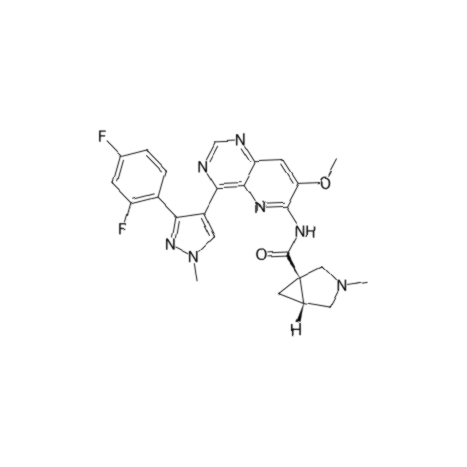 COc1cc2ncnc(-c3cn(C)nc3-c3ccc(F)cc3F)c2nc1NC(=O)[C@]12C[C@H]1CN(C)C2